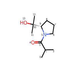 CC(C)C(=O)N1CCC[C@H]1C(C)(C)O